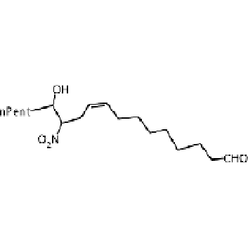 CCCCCC(O)C(C/C=C\CCCCCCCC=O)[N+](=O)[O-]